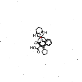 C[C@@H]1CC(C2CCCC2)C[C@H](C)C[C@H](N2[C@@H]3CCC[C@H]2C[C@@H](n2c(=O)c(C(=O)O)nc4ccccc42)C3)C1